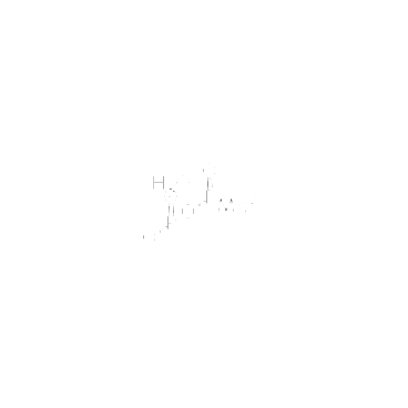 O.O=P[O-].O=P[O-].[Mg+2]